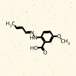 C/C=C/C=N/Nc1ccc(OC)cc1C(=O)O